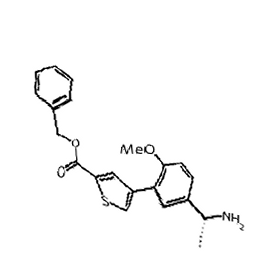 COc1ccc([C@@H](C)N)cc1-c1csc(C(=O)OCc2ccccc2)c1